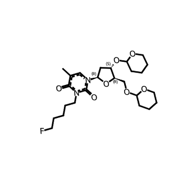 Cc1cn([C@H]2C[C@H](OC3CCCCO3)[C@@H](COC3CCCCO3)O2)c(=O)n(CCCCCF)c1=O